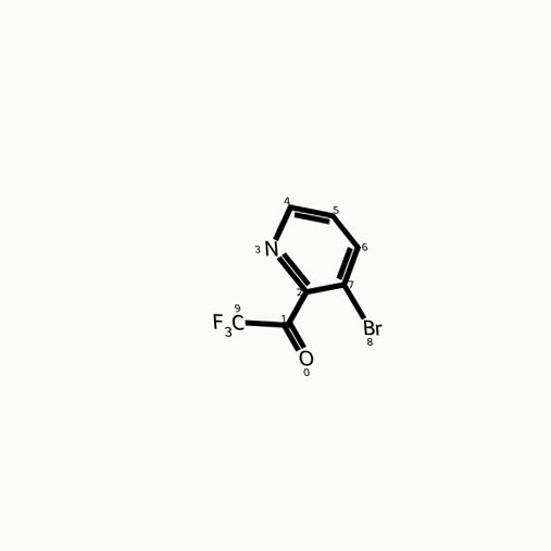 O=C(c1ncccc1Br)C(F)(F)F